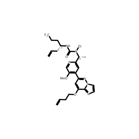 C=CCCOc1cc(-c2cc([C@@H](C)N(CC)C(=O)N[C@H](CC=C)CCC(F)(F)F)ncc2OC)nn2ccnc12